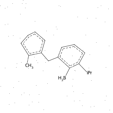 Bc1c(Cc2ccccc2C)cccc1C(C)C